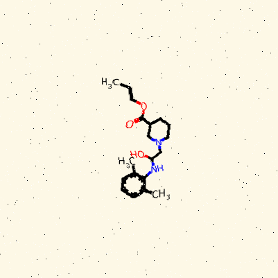 CCCOC(=O)C1CCCN(CC(O)Nc2c(C)cccc2C)C1